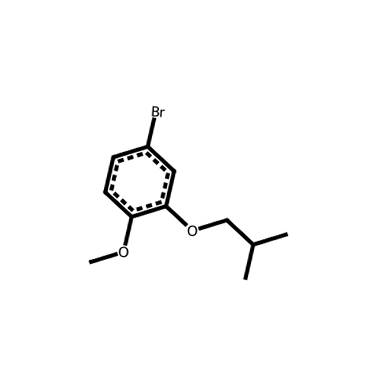 COc1ccc(Br)cc1OCC(C)C